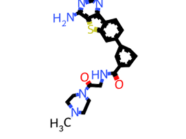 CN1CCN(C(=O)CNC(=O)c2cccc(-c3ccc4c(c3)sc3c(N)ncnc34)c2)CC1